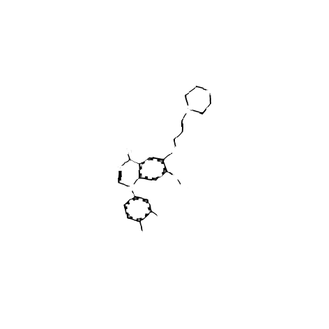 COc1cc2c(cc1OCCCN1CCOCC1)C([AsH2])N=CN2c1ccc(F)c(Cl)c1